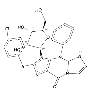 O=C1c2nc(Sc3ccc(Cl)cc3)n([C@@H]3O[C@H](CO)[C@@H](O)[C@H]3O)c2N(c2ccccc2)C2NC=CN12